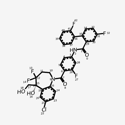 O=C(Nc1ccc(C(=O)N2CCC(F)(F)[C@](O)(CO)c3cc(Cl)ccc32)c(F)c1)c1cc(F)ccc1-c1ccccc1F